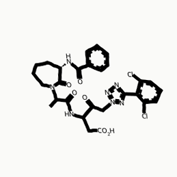 CC(C(=O)NC(CC(=O)O)C(=O)Cn1nnc(-c2c(Cl)cccc2Cl)n1)N1CCCC[C@H](NC(=O)c2ccccc2)C1=O